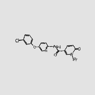 CC(C)n1cc(C(=O)Nc2ccc(Oc3cccc(Cl)c3)cn2)ccc1=O